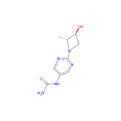 C[C@@H]1[C@@H](O)CN1c1ncc(NC(N)=O)cn1